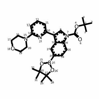 CC(C)(C)OC(=O)n1cc(-c2cccc(N3CCOCC3)n2)c2cc(B3OC(C)(C)C(C)(C)O3)ccc21